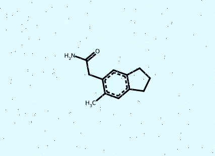 Cc1cc2c(cc1CC(N)=O)CCC2